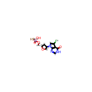 O=c1[nH]cnc2c1c(F)cn2C1CO[C@H](COP(=O)(O)S)C1